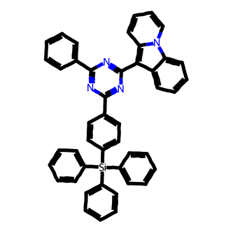 c1ccc(-c2nc(-c3ccc([Si](c4ccccc4)(c4ccccc4)c4ccccc4)cc3)nc(-c3c4ccccc4n4ccccc34)n2)cc1